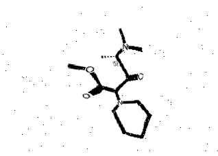 COC(=O)C(C(=O)[C@H](C)N(C)C)N1CCCCC1